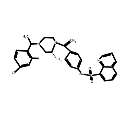 C=C(c1ccc(NS(=O)(=O)c2cccc3cccnc23)cc1)N1CCN(C(C)c2ccc(Cl)cc2F)C[C@H]1C